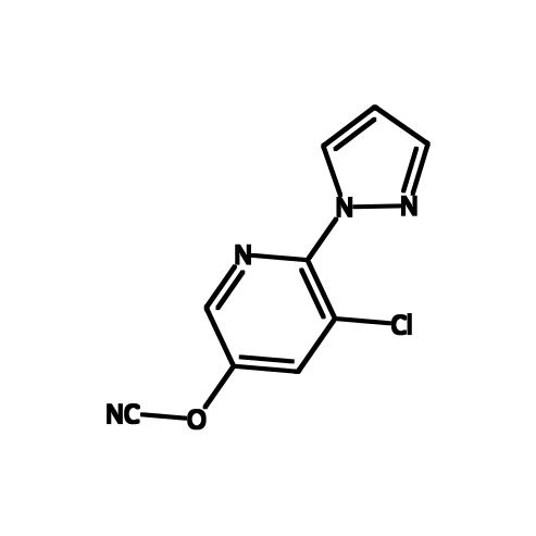 N#COc1cnc(-n2cccn2)c(Cl)c1